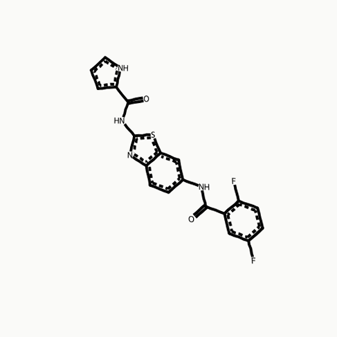 O=C(Nc1nc2ccc(NC(=O)c3cc(F)ccc3F)cc2s1)c1ccc[nH]1